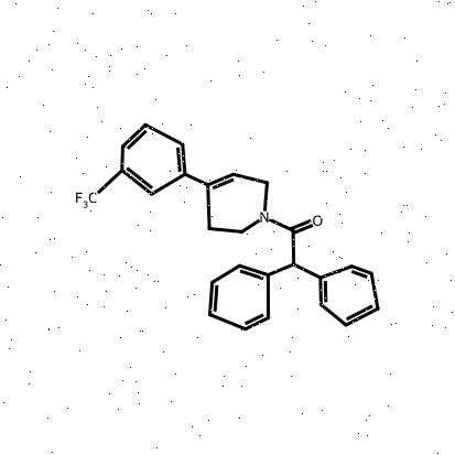 O=C(C(c1ccccc1)c1ccccc1)N1CC=C(c2cccc(C(F)(F)F)c2)CC1